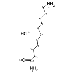 Cl.NCCCCCCCCCCC(N)=O